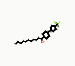 CCCCCCCCCCC(O)c1ccc(-c2ccc(C(F)(F)F)cc2)cc1